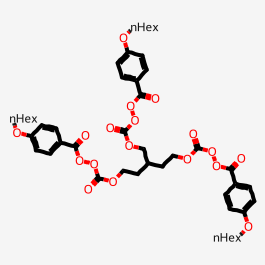 CCCCCCOc1ccc(C(=O)OOC(=O)OCCC(CCOC(=O)OOC(=O)c2ccc(OCCCCCC)cc2)COC(=O)OOC(=O)c2ccc(OCCCCCC)cc2)cc1